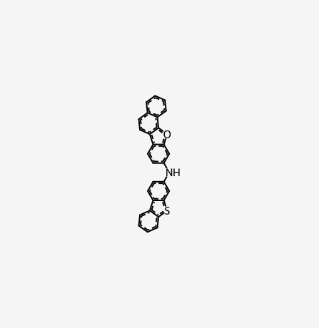 c1ccc2c(c1)ccc1c3ccc(Nc4ccc5c(c4)sc4ccccc45)cc3oc21